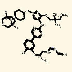 COCC(C)(C)COc1nn(C[C@H]2CC[C@H](N3[C@@H]4CC[C@H]3COC4)CC2)cc1Nc1ncc(-c2ccc(Cl)c(O[C@@H](C)CN/C=N\C=N)c2)cn1